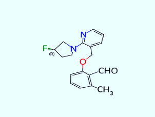 Cc1cccc(OCc2cccnc2N2CC[C@@H](F)C2)c1C=O